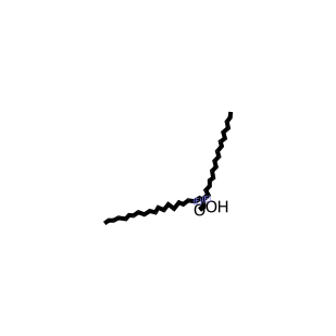 CCCCCCCCCCCCCCCCC/C=C(\C=C\CCCCCCCCCCCCCCCCCC)C(=O)O